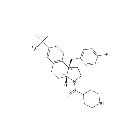 CC(F)(c1ccc2c(c1)CC[C@H]1N(C(=O)C3CCNCC3)CC[C@@]21Cc1ccc(F)cc1)C(F)(F)F